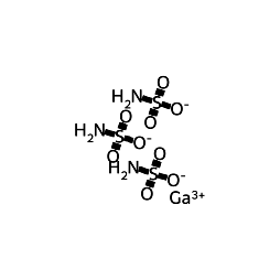 NS(=O)(=O)[O-].NS(=O)(=O)[O-].NS(=O)(=O)[O-].[Ga+3]